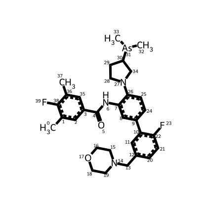 Cc1cc(C(=O)Nc2cc(-c3cc(CN4CCOCC4)ccc3F)ccc2N2CCC([As](C)C)C2)cc(C)c1F